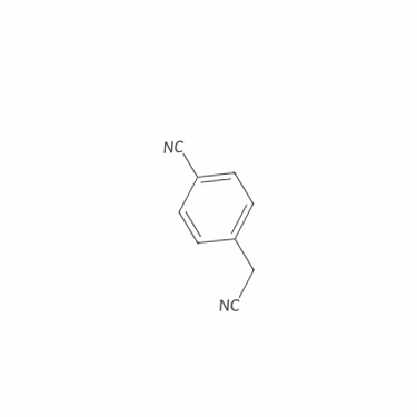 N#CCc1ccc(C#N)cc1